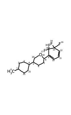 CC1CCC(C2CCC(C3=CC=CC(F)(F)C3(F)F)OC2)CC1